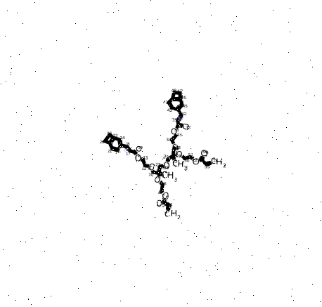 C=CC(=O)OCCOC(C)(COCCOC(=O)/C=C/c1ccc2c(c1)CC2)COCC(C)(COCCOC(=O)/C=C/c1ccc2c(c1)CC2)OCCOC(=O)C=C